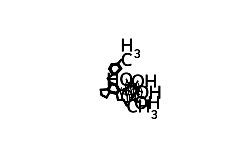 CCCCc1c([C@@H]2O[C@H](CO)[C@H](O)[C@H](O)[C@@H]2O)cc(Cc2ccc(CC)cc2)c2c1CCC2